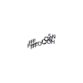 C/N=C1\SC2Cc3cc(OCC(F)(F)C(F)(F)C(F)(F)F)ccc3C2(O)N1C